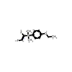 CCOc1ccc([Si](C)(C)/C(F)=C/F)cc1